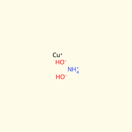 [Cu+].[NH4+].[OH-].[OH-]